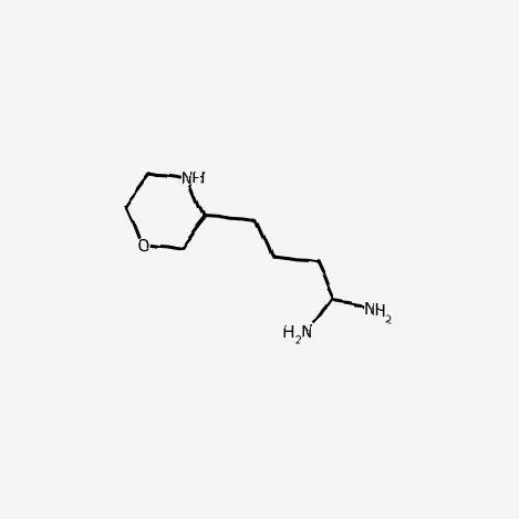 NC(N)CCCC1COCCN1